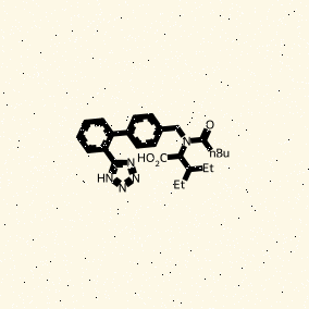 CCCCC(=O)N(Cc1ccc(-c2ccccc2-c2nnn[nH]2)cc1)C(C(=O)O)C(CC)CC